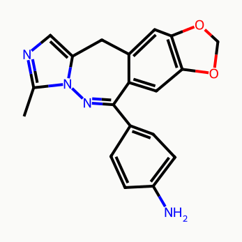 Cc1ncc2n1N=C(c1ccc(N)cc1)c1cc3c(cc1C2)OCO3